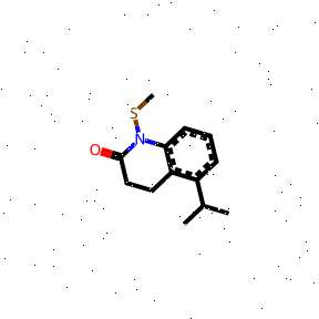 CSN1C(=O)CCc2c(C(C)C)cccc21